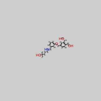 CC(C)(O)CCCNCc1cccc(OCc2ccc(CO)c(CO)c2)c1